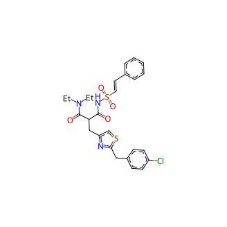 CCN(CC)C(=O)C(Cc1csc(Cc2ccc(Cl)cc2)n1)C(=O)NS(=O)(=O)/C=C/c1ccccc1